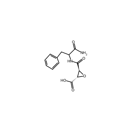 NC(=O)C(Cc1ccccc1)NC(=O)[C@H]1O[C@@H]1C(=O)O